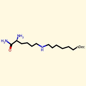 CCCCCCCCCCCCCCCCNCCCC[C@H](N)C(N)=O